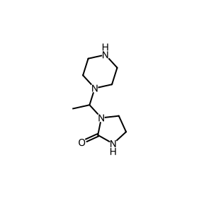 CC(N1CCNCC1)N1CCNC1=O